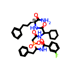 NC(=O)[C@H](CCCc1ccccc1)NC(=O)C(NC(=O)CP(=O)(O)C(Cc1ccccc1)NC(=O)c1cccc(F)c1)C1CCCCC1